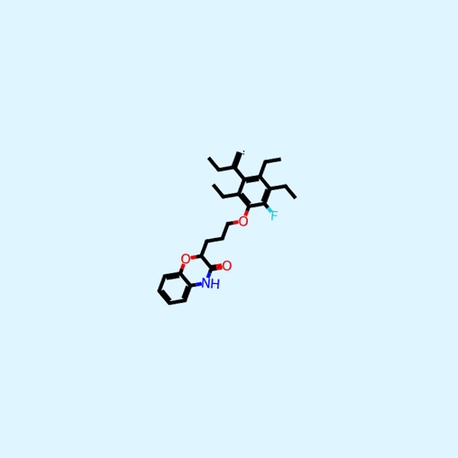 [C]=C(CC)c1c(CC)c(CC)c(F)c(OCCCC2Oc3ccccc3NC2=O)c1CC